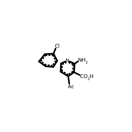 CC(=O)c1ccnc(N)c1C(=O)O.Clc1ccccc1